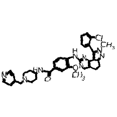 COc1cc(C(=O)NC2CCN(Cc3ccncc3)CC2)ccc1Nc1ncc2c(n1)-c1c(nn(C)c1-c1ccccc1Cl)CC2